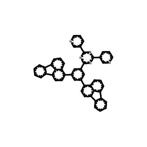 c1cncc(-c2nc(-c3cccnc3)nc(-c3cc(-c4ccc5c6c(cccc46)-c4ccccc4-5)cc(-c4ccc5c6c(cccc46)-c4ccccc4-5)c3)n2)c1